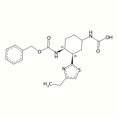 CCc1csc([C@@H]2CC(NC(=O)O)CC[C@@H]2NC(=O)OCc2ccccc2)n1